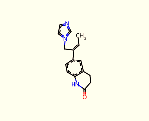 CC=C(Cn1ccnc1)c1ccc2c(c1)CCC(=O)N2